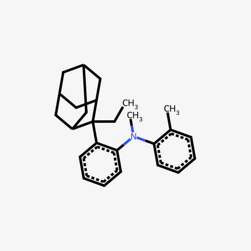 CCC1(c2ccccc2N(C)c2ccccc2C)C2CC3CC(C2)CC1C3